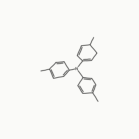 Cc1ccc(N(C2=CCC(C)C=C2)c2ccc(C)cc2)cc1